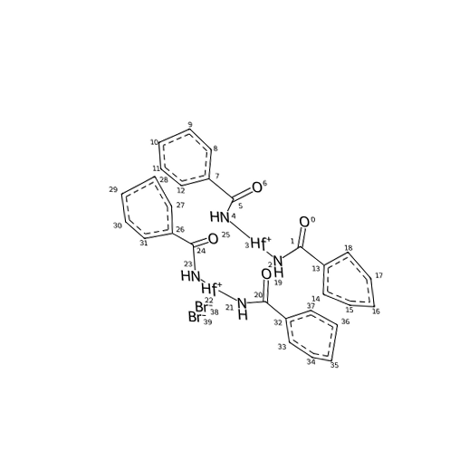 O=C([NH][Hf+][NH]C(=O)c1ccccc1)c1ccccc1.O=C([NH][Hf+][NH]C(=O)c1ccccc1)c1ccccc1.[Br-].[Br-]